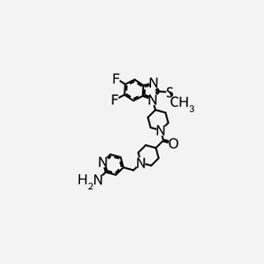 CSc1nc2cc(F)c(F)cc2n1C1CCN(C(=O)C2CCN(Cc3ccnc(N)c3)CC2)CC1